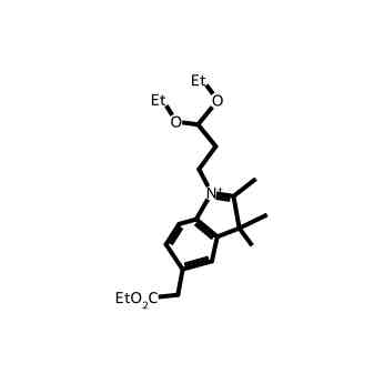 CCOC(=O)Cc1ccc2c(c1)C(C)(C)C(C)=[N+]2CCC(OCC)OCC